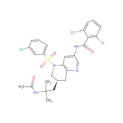 CC(=O)NC(C)(C)C[C@@H]1Cc2ncc(NC(=O)c3c(Cl)cccc3Cl)cc2N(S(=O)(=O)c2cccc(Cl)c2)C1